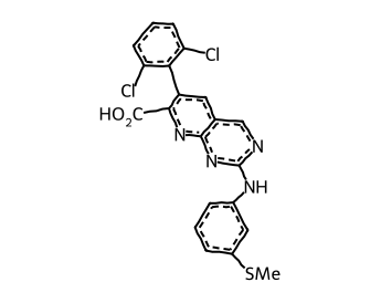 CSc1cccc(Nc2ncc3cc(-c4c(Cl)cccc4Cl)c(C(=O)O)nc3n2)c1